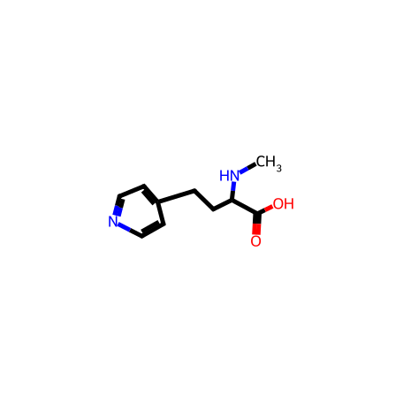 CNC(CCc1ccncc1)C(=O)O